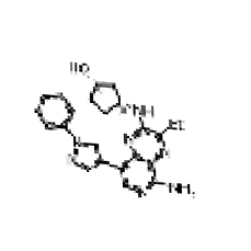 CCc1nc2c(N)ncc(-c3cnn(-c4ccccc4)c3)c2nc1N[C@@H]1CC[C@H](O)C1